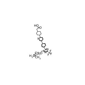 C[Si](C)(C)CCOCn1nc(C(F)(F)F)nc1-c1ccc(-c2ccc(C3CCC(CC(=O)O)CC3)nc2)cc1